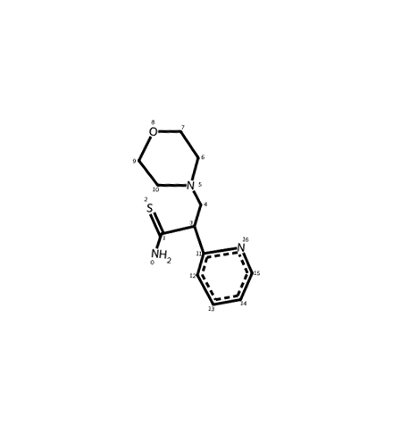 NC(=S)C(CN1CCOCC1)c1ccccn1